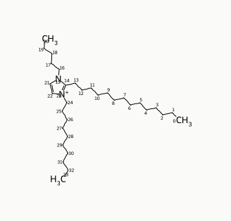 CCCCCCCCCCCCCCc1n(CCCCC)cc[n+]1CCCCCCCCCC